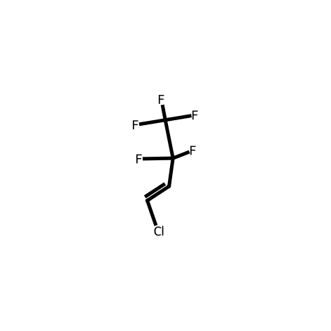 FC(F)(F)C(F)(F)C=CCl